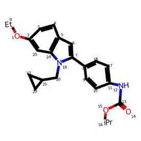 CCOc1ccc2cc(-c3ccc(NC(=O)OC(C)C)cc3)n(CC3CC3)c2c1